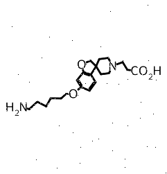 NCCCCCCOc1ccc2c(c1)OCC21CCN(CCC(=O)O)CC1